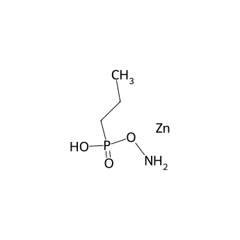 CCCP(=O)(O)ON.[Zn]